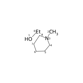 CCO.CN1CCCCC1